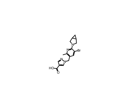 Cc1nc(N2CC3CC3C2)c(Br)cc1Cn1cc(C(=O)O)cn1